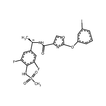 C[C@@H](NC(=O)c1coc(Oc2cccc(I)c2)n1)c1cc(F)c(NS(C)(=O)=O)c(F)c1